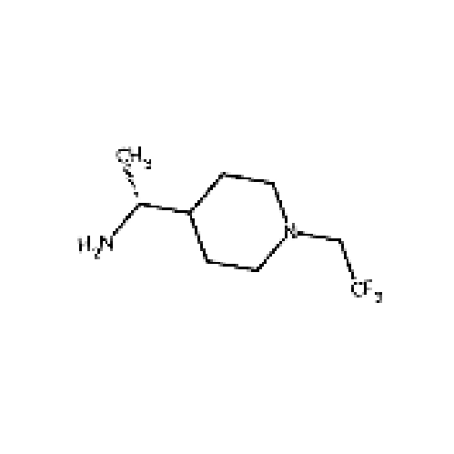 C[C@@H](N)C1CCN(CC(F)(F)F)CC1